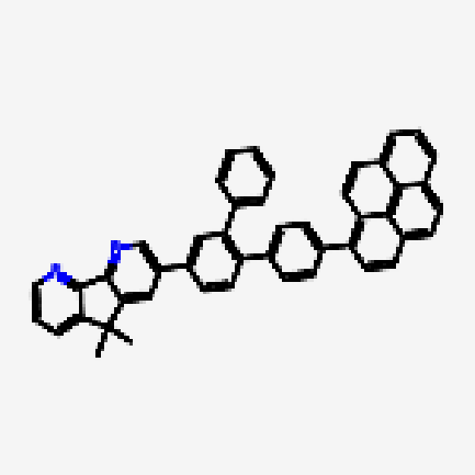 CC1(C)c2cccnc2-c2ncc(-c3ccc(-c4ccc(-c5ccc6ccc7cccc8ccc5c6c78)cc4)c(-c4ccccc4)c3)cc21